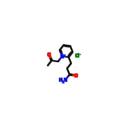 CC(=O)C[n+]1ccccc1CCC(N)=O.[Cl-]